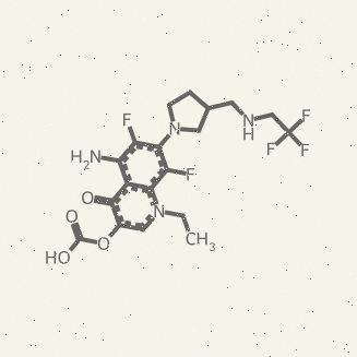 CCn1cc(OC(=O)O)c(=O)c2c(N)c(F)c(N3CCC(CNCC(F)(F)F)C3)c(F)c21